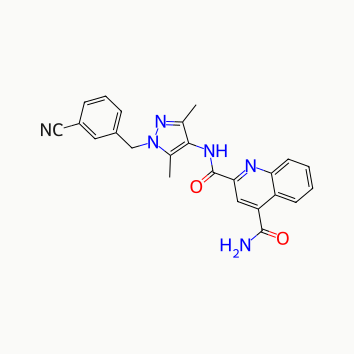 Cc1nn(Cc2cccc(C#N)c2)c(C)c1NC(=O)c1cc(C(N)=O)c2ccccc2n1